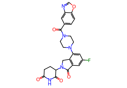 O=C1CCC(N2Cc3c(cc(F)cc3N3CCN(C(=O)c4ccc5ocnc5c4)CC3)C2=O)C(=O)N1